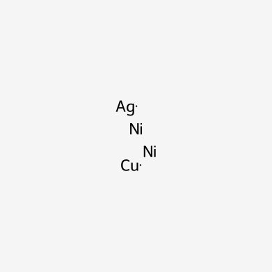 [Ag].[Cu].[Ni].[Ni]